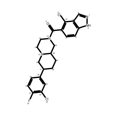 O=C(c1ccc2[nH]ncc2c1Cl)N1CCN2CC(c3ccc(F)c(Cl)c3)CCC2C1